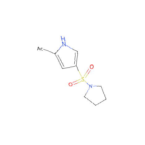 CC(=O)c1cc(S(=O)(=O)N2CCCC2)c[nH]1